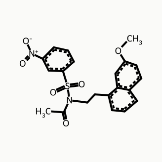 COc1ccc2cccc(CCN(C(C)=O)S(=O)(=O)c3cccc([N+](=O)[O-])c3)c2c1